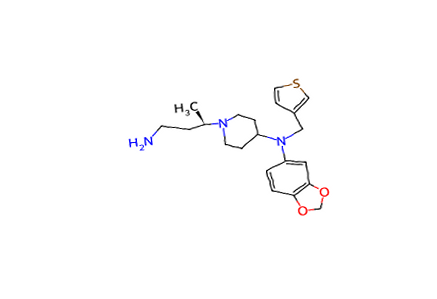 C[C@H](CCN)N1CCC(N(Cc2ccsc2)c2ccc3c(c2)OCO3)CC1